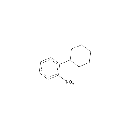 O=[N+]([O-])c1ccccc1C1CCCCC1